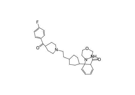 NC(=O)C1C=CC=CC1(C1CCC(CCN2CCC(C(=O)c3ccc(F)cc3)CC2)CC1)N1CCOCC1